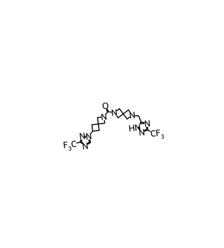 O=C(N1CC2(CC(n3cnc(C(F)(F)F)n3)C2)C1)N1CC2(CN(Cc3nc(C(F)(F)F)n[nH]3)C2)C1